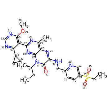 CC[C@@H](C)n1c(=O)c(NCc2ccc(S(=O)(=O)CC)cn2)nc2c(C)nc(-c3c(OC)ncnc3C3CC3)nc21